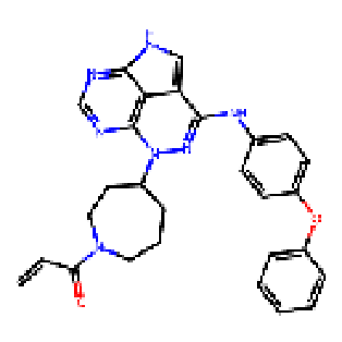 C=CC(=O)N1CCCC(N2N=C(Nc3ccc(Oc4ccccc4)cc3)c3c[nH]c4ncnc2c34)CC1